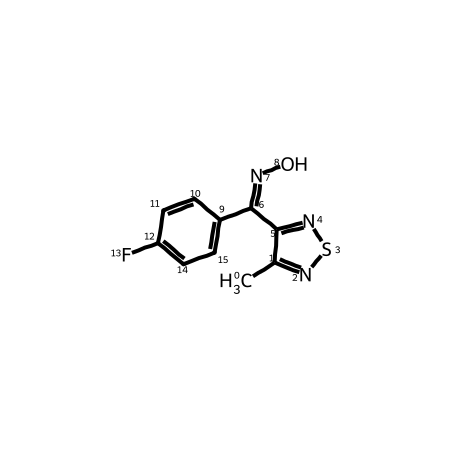 Cc1nsnc1C(=NO)c1ccc(F)cc1